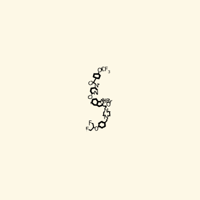 Br.CN(C(=O)c1ccc(OC(F)(F)F)cc1)c1ccc(Oc2ccc3cc(C(=O)N4CCN(Cc5ccc(OC(CF)CF)cc5)CC4)n(C)c3c2)nc1